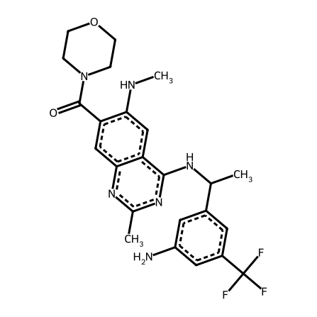 CNc1cc2c(NC(C)c3cc(N)cc(C(F)(F)F)c3)nc(C)nc2cc1C(=O)N1CCOCC1